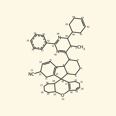 CC1C(C2CCCC3C2C2=C(CC(C#N)C=C2)C32C3=C(C=CCC3)OC3CCCCC32)=NC(c2ccccc2)=NC1C1CC=CCC1